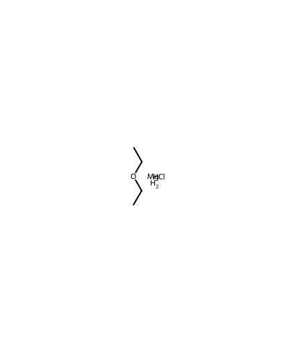 CCOCC.Cl.[MgH2]